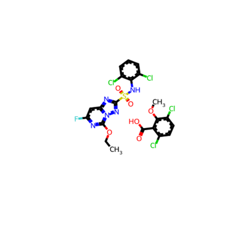 CCOc1nc(F)cc2nc(S(=O)(=O)Nc3c(Cl)cccc3Cl)nn12.COc1c(Cl)ccc(Cl)c1C(=O)O